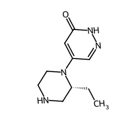 CC[C@@H]1CNCCN1c1cn[nH]c(=O)c1